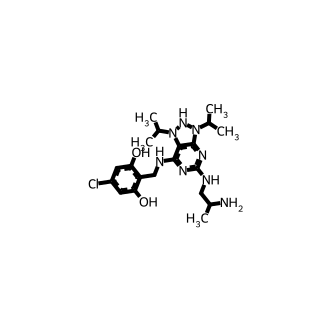 CC(N)CNc1nc(NCc2c(O)cc(Cl)cc2O)c2c(n1)N(C(C)C)NN2C(C)C